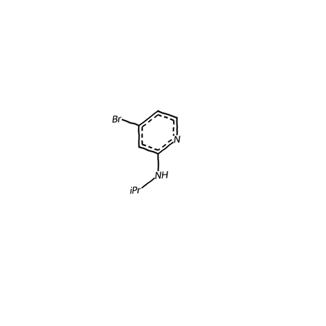 CC(C)Nc1cc(Br)ccn1